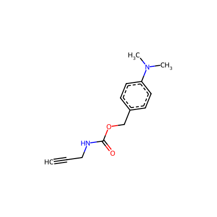 C#CCNC(=O)OCc1ccc(N(C)C)cc1